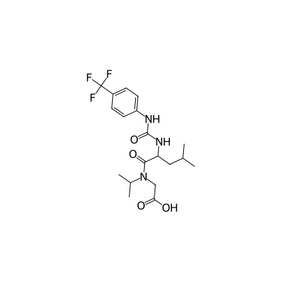 CC(C)CC(NC(=O)Nc1ccc(C(F)(F)F)cc1)C(=O)N(CC(=O)O)C(C)C